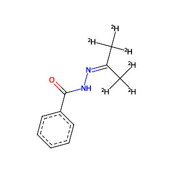 [2H]C([2H])([2H])C(=NNC(=O)c1ccccc1)C([2H])([2H])[2H]